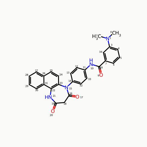 CN(C)c1cccc(C(=O)Nc2ccc(N3C(=O)CC(=O)Nc4c3ccc3ccccc43)cc2)c1